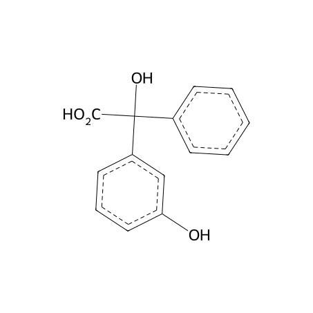 O=C(O)C(O)(c1ccccc1)c1cccc(O)c1